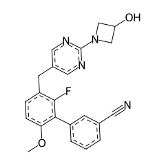 COc1ccc(Cc2cnc(N3CC(O)C3)nc2)c(F)c1-c1cccc(C#N)c1